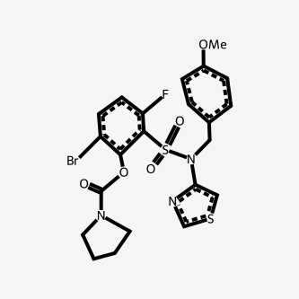 COc1ccc(CN(c2cscn2)S(=O)(=O)c2c(F)ccc(Br)c2OC(=O)N2CCCC2)cc1